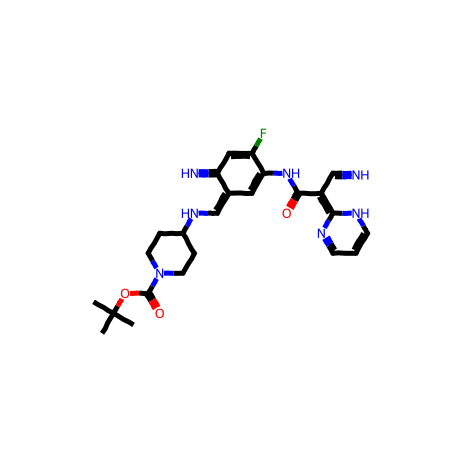 CC(C)(C)OC(=O)N1CCC(N/C=C2/C=C(NC(=O)/C(C=N)=C3\N=CC=CN3)C(F)=CC2=N)CC1